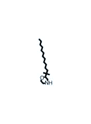 CCCCCCCCCCCCC(C)(C)C1CNCCO1